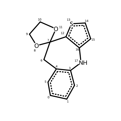 c1ccc2c(c1)CC1(OCCO1)c1sccc1N2